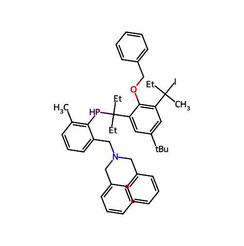 CCC(C)(I)c1cc(C(C)(C)C)cc(C(CC)(CC)Pc2c(C)cccc2CN(Cc2ccccc2)Cc2ccccc2)c1OCc1ccccc1